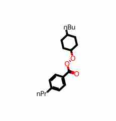 CCCCC1CC[C](OOC(=O)c2ccc(CCC)cc2)CC1